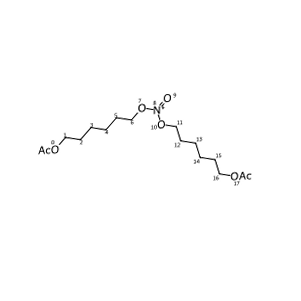 CC(=O)OCCCCCCO[N+](=O)OCCCCCCOC(C)=O